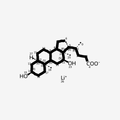 C[C@H](CCC(=O)[O-])[C@H]1CCC2C3CC[C@@H]4C[C@H](O)CC[C@]4(C)C3C[C@H](O)[C@@]21C.[Li+]